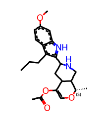 CCCc1c(C2CC3C(OC(C)=O)=CO[C@@H](C)C3CN2)[nH]c2cc(OC)ccc12